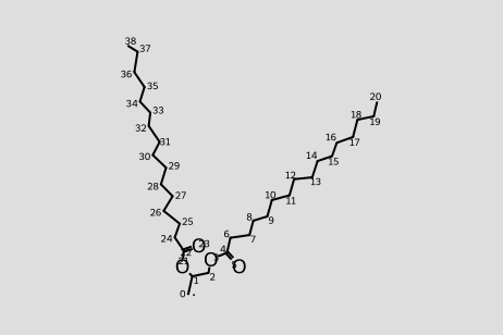 [CH2]C(COC(=O)CCCCCCCCCCCCCCC)OC(=O)CCCCCCCCCCCCCCC